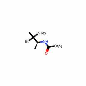 CCCCCCC(C)(CC)[C@H](C)NC(=O)OC